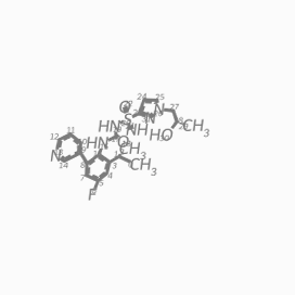 CC(C)c1cc(F)cc(-c2cccnc2)c1NC(=O)NS(=N)(=O)c1ccn(C[C@H](C)O)n1